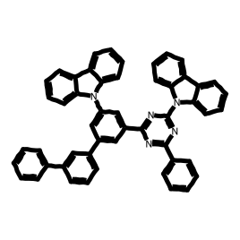 c1ccc(-c2cccc(-c3cc(-c4nc(-c5ccccc5)nc(-n5c6ccccc6c6ccccc65)n4)cc(-n4c5ccccc5c5ccccc54)c3)c2)cc1